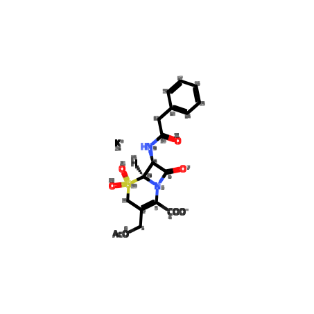 CC(=O)OCC1=C(C(=O)[O-])N2C(=O)[C@H](NC(=O)Cc3ccccc3)[C@@H]2S(=O)(=O)C1.[K+]